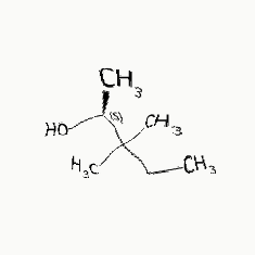 CCC(C)(C)[C@H](C)O